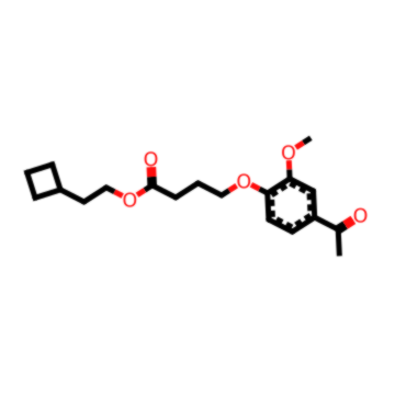 COc1cc(C(C)=O)ccc1OCCCC(=O)OCCC1CCC1